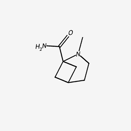 CN1CCC2CC1(C(N)=O)C2